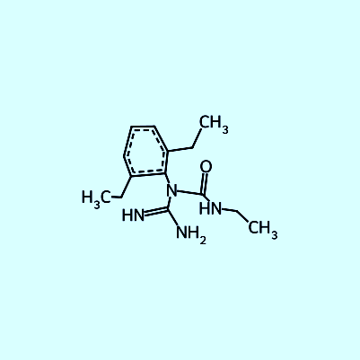 CCNC(=O)N(C(=N)N)c1c(CC)cccc1CC